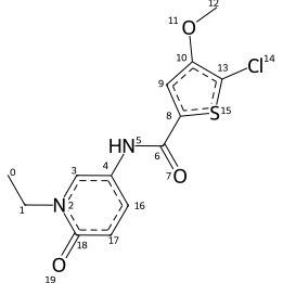 CCn1cc(NC(=O)c2cc(OC)c(Cl)s2)ccc1=O